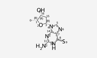 C[C@H]1O[C@@H](n2cnc3c(=S)[nH]c(N)nc32)C[C@H]1O